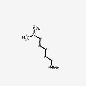 CCCCN(C)CCCCCNC